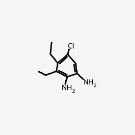 CCc1c(Cl)cc(N)c(N)c1CC